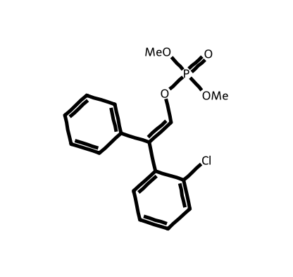 COP(=O)(OC)O/C=C(\c1ccccc1)c1ccccc1Cl